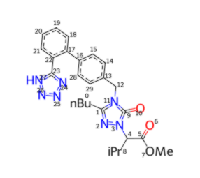 CCCCc1nn(C(C(=O)OC)C(C)C)c(=O)n1Cc1ccc(-c2ccccc2-c2nnn[nH]2)cc1